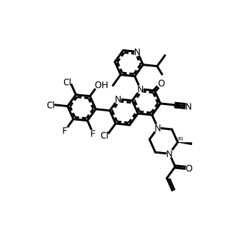 C=CC(=O)N1CCN(c2c(C#N)c(=O)n(-c3c(C)ccnc3C(C)C)c3nc(-c4c(O)c(Cl)c(Cl)c(F)c4F)c(Cl)cc23)C[C@H]1C